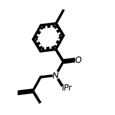 C=C(C)CN(C(=O)c1cccc(C)c1)C(C)C